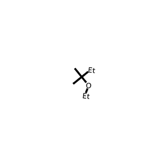 [CH2]CC(C)(C)OCC